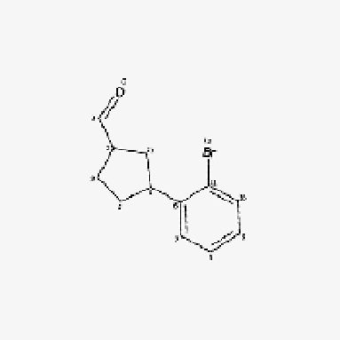 O=CC1CCC(c2ccccc2Br)C1